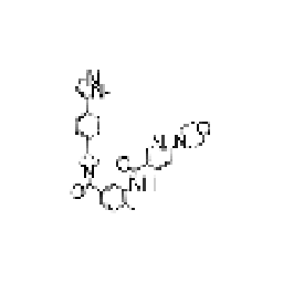 Cc1ccc(C(=O)N2CC(c3ccc(-c4ccnn4C)cc3)C2)cc1NC(=O)c1ccc(N2CCOCC2)nc1